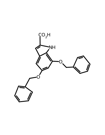 O=C(O)c1cc2cc(OCc3ccccc3)cc(OCc3ccccc3)c2[nH]1